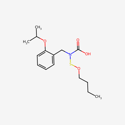 CCCCOSN(Cc1ccccc1OC(C)C)C(=O)O